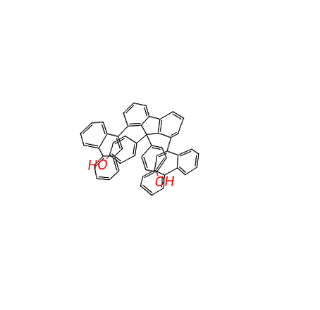 Oc1ccc(C2(c3ccc(O)cc3)c3c(cccc3-c3cc4ccccc4c4ccccc34)-c3cccc(-c4cc5ccccc5c5ccccc45)c32)cc1